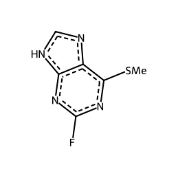 CSc1nc(F)nc2[nH]cnc12